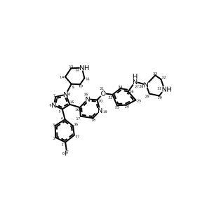 Fc1ccc(-c2ncn(C3CCNCC3)c2-c2ccnc(Oc3cccc(NN4CCNCC4)c3)n2)cc1